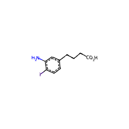 Nc1cc(CCCC(=O)O)ccc1I